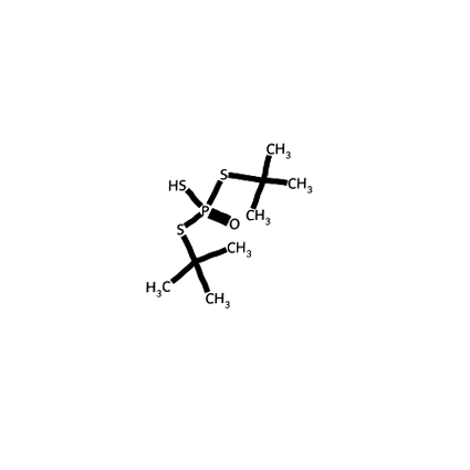 CC(C)(C)SP(=O)(S)SC(C)(C)C